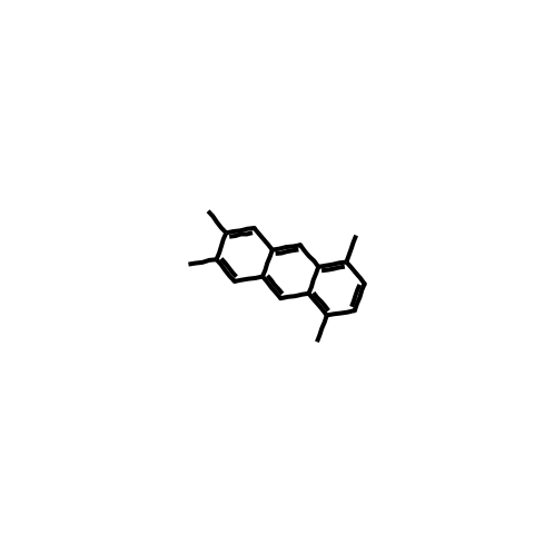 Cc1cc2cc3c(C)ccc(C)c3cc2cc1C